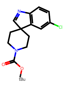 CC(C)(C)OC(=O)N1CCC2(C=Nc3ccc(Cl)cc32)CC1